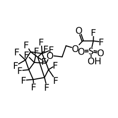 O=C(OCCOC12C(F)(F)C3(F)C(F)(F)C(F)(C(F)(F)C(F)(C3(F)F)C1(F)F)C2(F)F)C(F)(F)S(=O)(=O)O